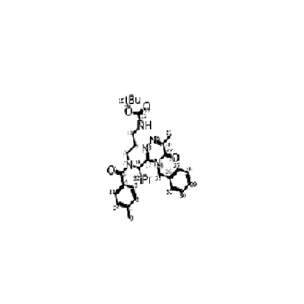 Cc1ccc(C(=O)N(CCCNC(=O)OC(C)(C)C)C(c2nnc(C)c(=O)n2Cc2ccccc2)C(C)C)cc1